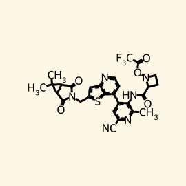 Cc1nc(C#N)cc(-c2ccnc3cc(CN4C(=O)C5C(C4=O)C5(C)C)sc23)c1NC(=O)C1CCN1OC(=O)C(F)(F)F